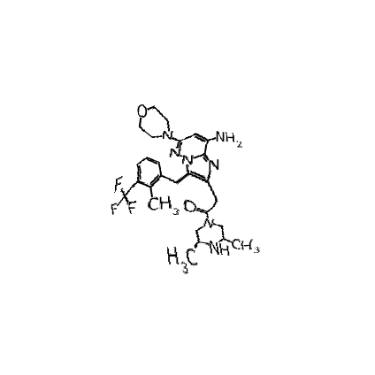 Cc1c(Cc2c(CC(=O)N3CC(C)NC(C)C3)nc3c(N)cc(N4CCOCC4)nn23)cccc1C(F)(F)F